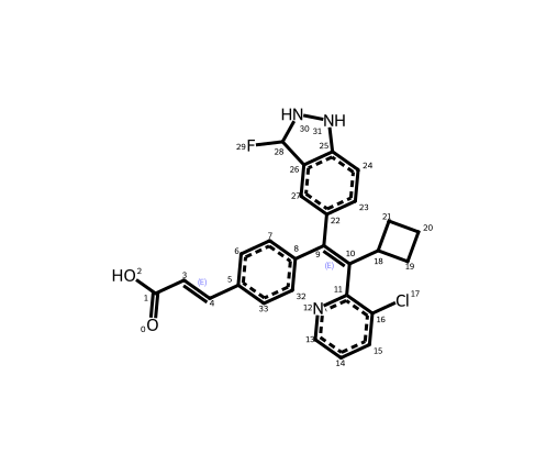 O=C(O)/C=C/c1ccc(/C(=C(\c2ncccc2Cl)C2CCC2)c2ccc3c(c2)C(F)NN3)cc1